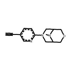 C#Cc1ccc(N2CC3COCC(C2)N3C)nc1